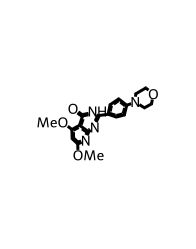 COc1cc(OC)c2c(=O)[nH]c(-c3ccc(N4CCOCC4)cc3)nc2n1